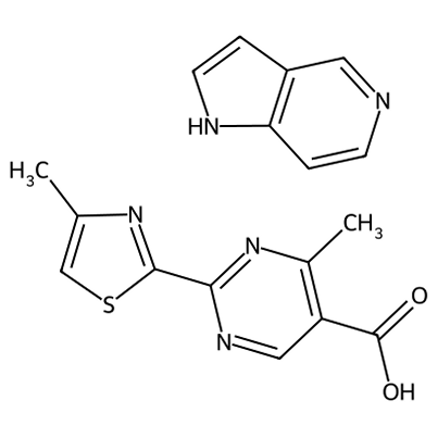 Cc1csc(-c2ncc(C(=O)O)c(C)n2)n1.c1cc2[nH]ccc2cn1